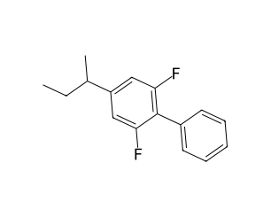 CCC(C)c1cc(F)c(-c2ccccc2)c(F)c1